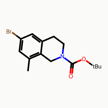 Cc1cc(Br)cc2c1CN(C(=O)OC(C)(C)C)CC2